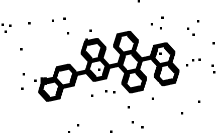 c1cnc2ccc(-c3ccc(-c4c5ccccc5c(-c5cccc6ccccc56)c5ccccc45)c4ccccc34)cc2c1